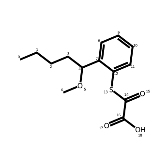 CCCCC(OC)c1ccccc1SC(=O)C(=O)O